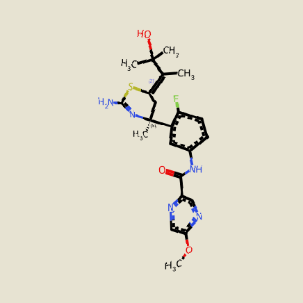 COc1cnc(C(=O)Nc2ccc(F)c([C@]3(C)C/C(=C(\C)C(C)(C)O)SC(N)=N3)c2)cn1